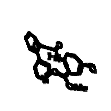 COC(=O)c1cc(Cl)ccc1NC(=O)c1c(-c2ccncc2)c2ccc1o2